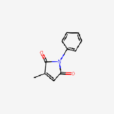 CC1=CC(=O)N(c2ccccc2)C1=O